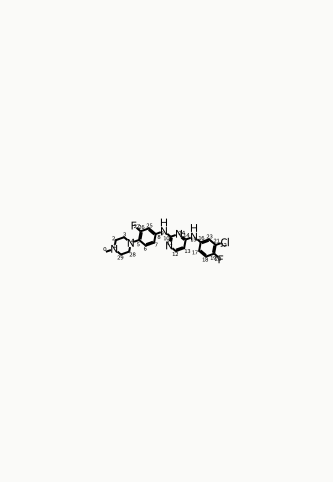 CN1CCN(c2ccc(Nc3nccc(Nc4ccc(F)c(Cl)c4)n3)cc2F)CC1